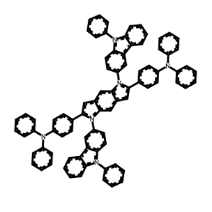 c1ccc(N(c2ccccc2)c2ccc(-c3cc4cc5c(cc(-c6ccc(N(c7ccccc7)c7ccccc7)cc6)n5-c5ccc6c(c5)c5ccccc5n6-c5ccccc5)cc4n3-c3ccc4c(c3)c3ccccc3n4-c3ccccc3)cc2)cc1